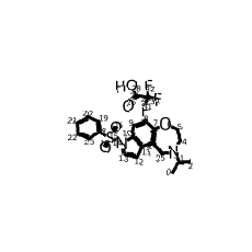 CC(C)N1CCOc2ccc3c(ccn3S(=O)(=O)c3ccccc3)c2C1.O=C(O)C(F)(F)F